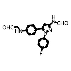 O=CCNc1ccc(-c2cc(NC=O)nn2-c2ccc(F)cc2)cc1